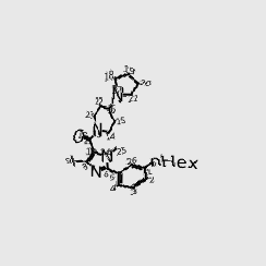 CCCCCCc1cccc(-c2nc(I)c(C(=O)N3CCC(N4CCCC4)CC3)n2C)c1